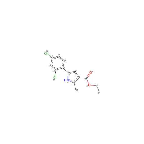 CCOC(=O)c1cc(-c2ccc(Cl)cc2Cl)[nH]c1C